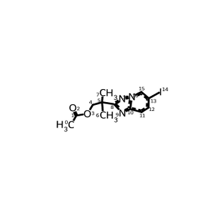 CC(=O)OCC(C)(C)c1nc2ccc(I)cn2n1